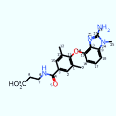 Cc1cc(C(=O)NCCC(=O)O)cc(C)c1Oc1cccc2c1nc(N)n2C